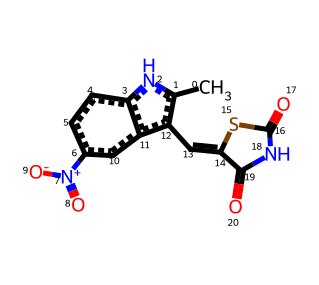 Cc1[nH]c2ccc([N+](=O)[O-])cc2c1/C=C1\SC(=O)NC1=O